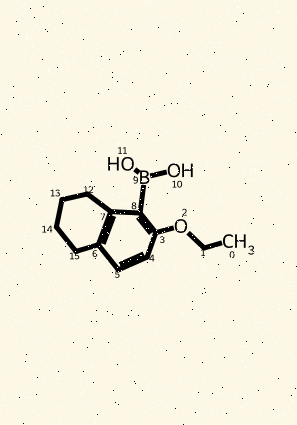 CCOc1ccc2c(c1B(O)O)CCCC2